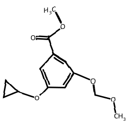 COCOc1cc(OC2CC2)cc(C(=O)OC)c1